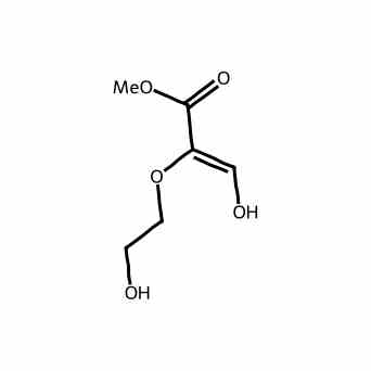 COC(=O)C(=CO)OCCO